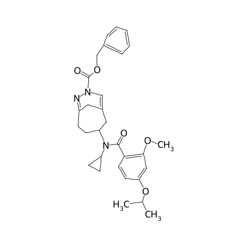 COc1cc(OC(C)C)ccc1C(=O)N(C1CC1)C1CCC2=NN(C(=O)OCc3ccccc3)C=C(C2)C1